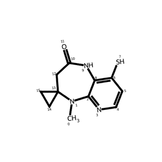 CN1c2nccc(S)c2NC(=O)CC12CC2